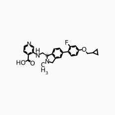 CN1Cc2cc(-c3ccc(OCC4CC4)cc3F)ccc2[C@@H]1CNc1cnccc1C(=O)O